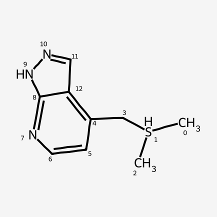 C[SH](C)Cc1ccnc2[nH]ncc12